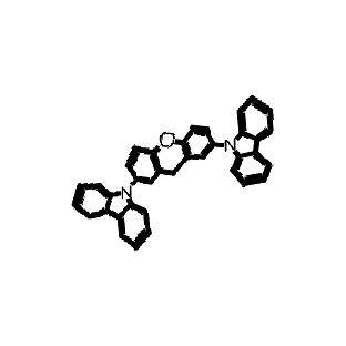 c1ccc2c(c1)c1ccccc1n2-c1ccc2c(c1)Cc1cc(-n3c4ccccc4c4ccccc43)ccc1O2